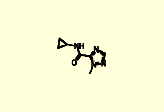 Cn1ncnc1C(=O)NC1CC1